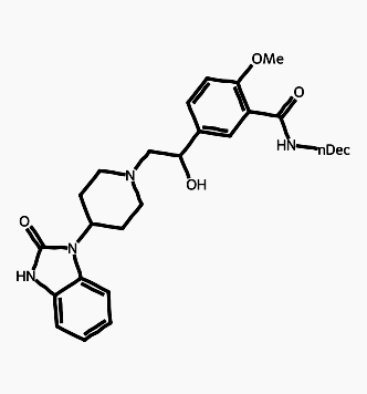 CCCCCCCCCCNC(=O)c1cc(C(O)CN2CCC(n3c(=O)[nH]c4ccccc43)CC2)ccc1OC